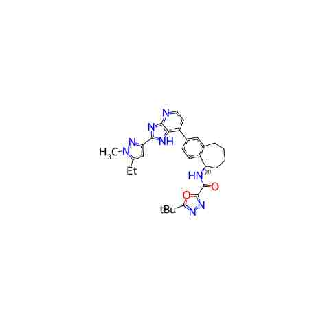 CCc1cc(-c2nc3nccc(-c4ccc5c(c4)CCCC[C@H]5NC(=O)c4nnc(C(C)(C)C)o4)c3[nH]2)nn1C